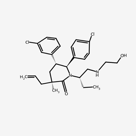 C=CC[C@@]1(C)C[C@H](c2cccc(Cl)c2)[C@@H](c2ccc(Cl)cc2)N([C@@H](CC)CNCCO)C1=O